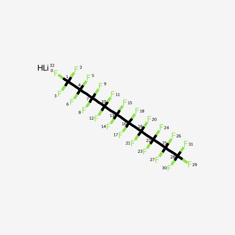 FC(F)(F)C(F)(F)C(F)(F)C(F)(F)C(F)(F)C(F)(F)C(F)(F)C(F)(F)C(F)(F)C(F)(F)F.[LiH]